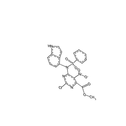 COC(=O)c1nc(Cl)nc(N(c2cccc3[nH]ccc23)S(=O)(=O)c2ccccc2)c1[N+](=O)[O-]